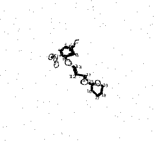 O=[N+]([O-])c1ccc(F)cc1OCCCOC1CCCCO1